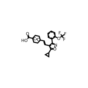 O=C(O)C12CCC(C=Cc3c(-c4ccccc4OC(F)(F)F)noc3C3CC3)(CC1)CC2